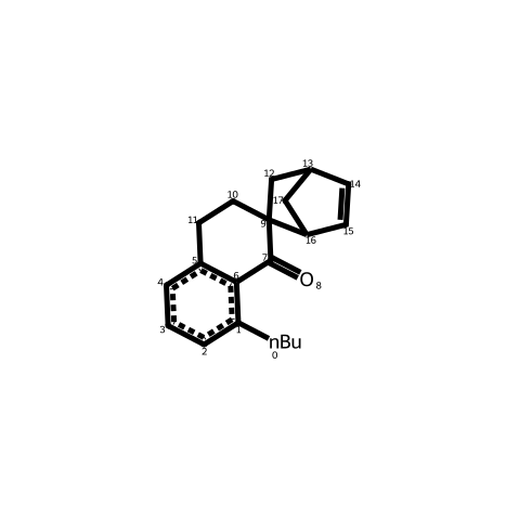 CCCCc1cccc2c1C(=O)C1(CC2)CC2C=CC1C2